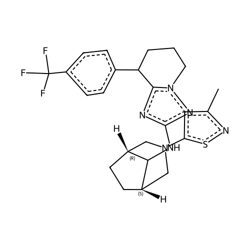 Cc1cc(N2C[C@H]3CC[C@@H](C2)C3Nc2nc3n(n2)CCCC3c2ccc(C(F)(F)F)cc2)sn1